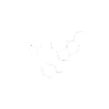 CCc1ccc2nc(-c3cccnc3N)n(C(C)O[Si](C)(C)C(C)(C)C)c2n1